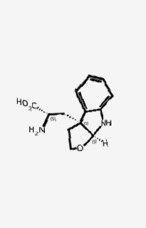 N[C@@H](C[C@@]12CCO[C@@H]1Nc1ccccc12)C(=O)O